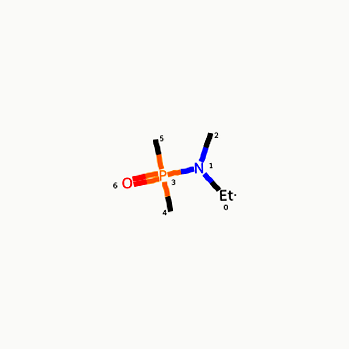 C[CH]N(C)P(C)(C)=O